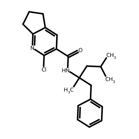 CC(C)CC(C)(Cc1ccccc1)NC(=O)c1cc2c(nc1Cl)CCC2